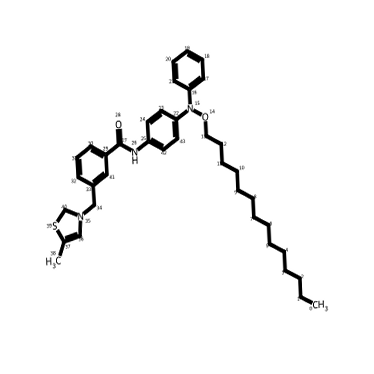 CCCCCCCCCCCCCCON(c1ccccc1)c1ccc(NC(=O)c2cccc(CN3C=C(C)SC3)c2)cc1